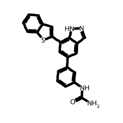 NC(=O)Nc1cccc(-c2cc(-c3cc4ccccc4s3)c3[nH]ncc3c2)c1